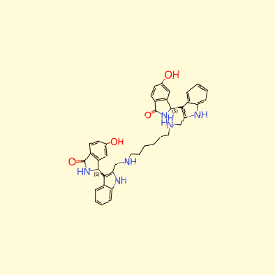 O=C1N[C@H](c2c(CNCCCCCCNCc3[nH]c4ccccc4c3[C@H]3NC(=O)c4ccc(O)cc43)[nH]c3ccccc23)c2cc(O)ccc21